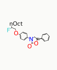 CCCCCCCCC(F)COc1ccc(N2C[C@@H](c3ccccc3)OC2=O)cc1